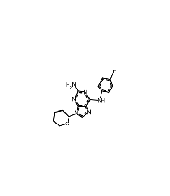 Nc1nc(Nc2ccc(F)cc2)c2ncn(C3CCCCO3)c2n1